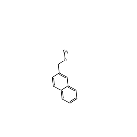 OOCc1ccc2ccccc2c1